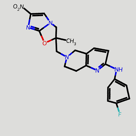 CC1(CN2CCc3nc(Nc4ccc(F)cc4)ccc3C2)Cn2cc([N+](=O)[O-])nc2O1